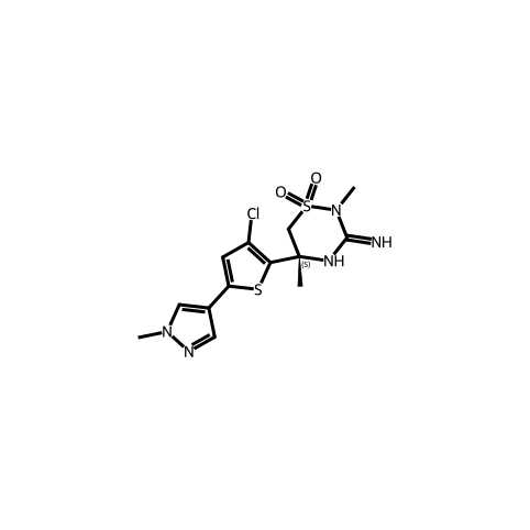 CN1C(=N)N[C@](C)(c2sc(-c3cnn(C)c3)cc2Cl)CS1(=O)=O